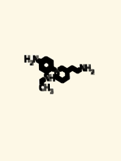 CCNc1cc(N)ccc1N1CCCC(CCN)C1